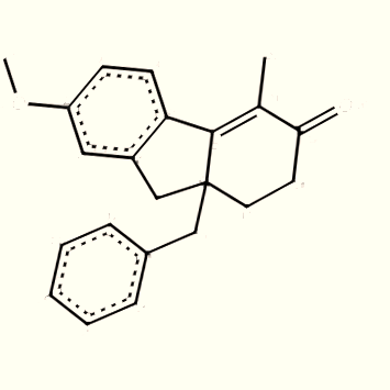 COc1ccc2c(c1)CC1(Cc3ccccc3)CCC(=O)C(C)=C21